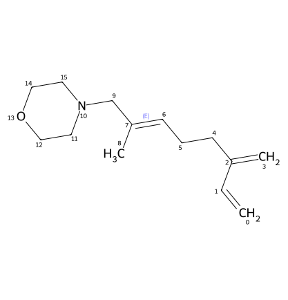 C=CC(=C)CC/C=C(\C)CN1CCOCC1